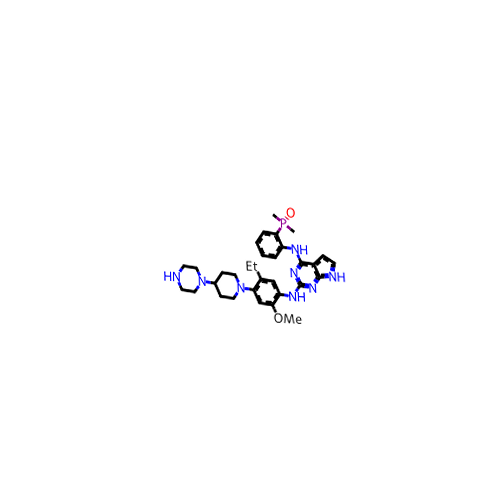 CCc1cc(Nc2nc(Nc3ccccc3P(C)(C)=O)c3cc[nH]c3n2)c(OC)cc1N1CCC(N2CCNCC2)CC1